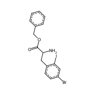 NC(Cc1ccc(Br)cc1I)C(=O)OCc1ccccc1